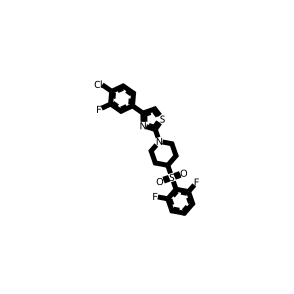 O=S(=O)(c1c(F)cccc1F)C1CCN(c2nc(-c3ccc(Cl)c(F)c3)cs2)CC1